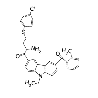 CCn1c2ccc(C(=O)c3ccccc3C)cc2c2cc(C(=O)C(N)CCSc3ccc(Cl)cc3)ccc21